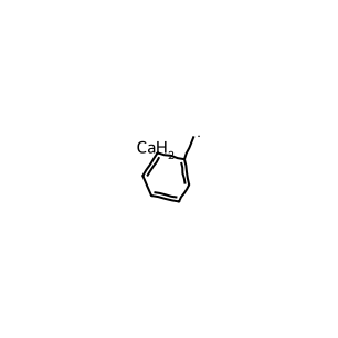 [CH2]c1ccccc1.[CaH2]